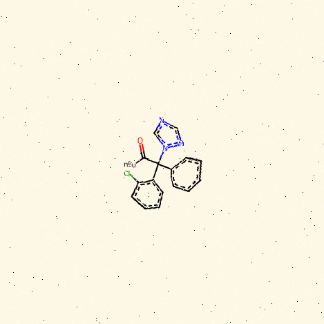 CCCCC(=O)C(c1ccccc1)(c1ccccc1Cl)n1cncn1